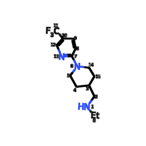 CCNCC1CCN(c2ccc(C(F)(F)F)cn2)CC1